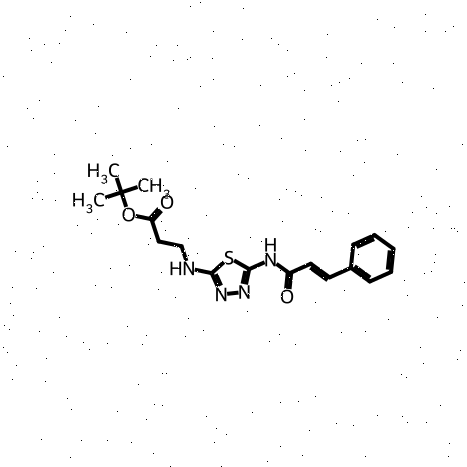 CC(C)(C)OC(=O)CCNc1nnc(NC(=O)C=Cc2ccccc2)s1